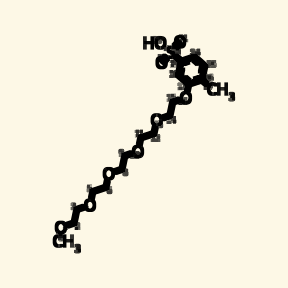 COCCOCCOCCOCCOCCOc1cc(S(=O)(=O)O)ccc1C